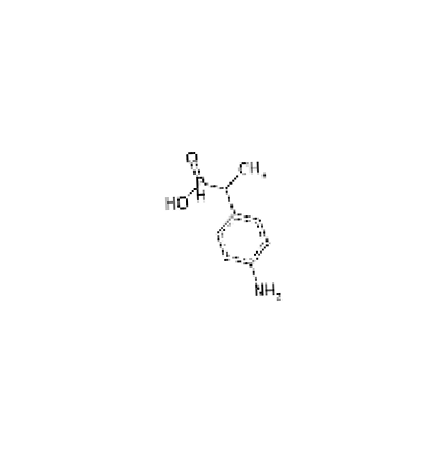 CC(c1ccc(N)cc1)[PH](=O)O